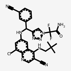 CC(C)(C)CNc1c(C#N)cnc2c(Cl)cc(NC(c3cccc(C#N)c3)c3cn(C(F)(F)C(N)=O)nn3)cc12